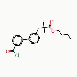 CCCCOC(=O)C(C)(C)Cc1cccc(-c2cccc(C(=O)Cl)c2)c1